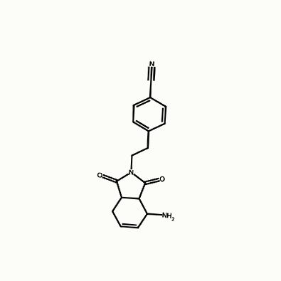 N#Cc1ccc(CCN2C(=O)C3CC=CC(N)C3C2=O)cc1